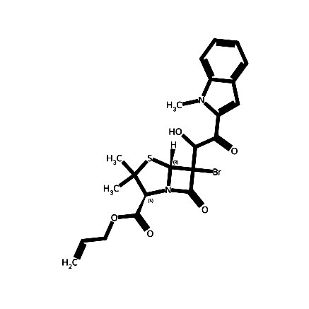 C=CCOC(=O)[C@@H]1N2C(=O)C(Br)(C(O)C(=O)c3cc4ccccc4n3C)[C@H]2SC1(C)C